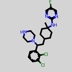 CC1(Nc2ncc(F)cn2)CCC(CC(c2cccc(Cl)c2Cl)N2CCNCC2)CC1